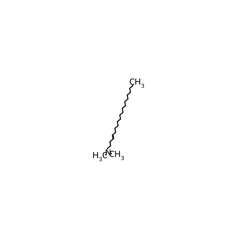 CCCCCCCCCCCCCCCCC=CCCCN(C)C